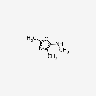 CNc1oc(C)nc1C